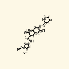 COc1nc(N[C@@H](C)c2cc3cc(Cl)c(OCc4ccccn4)cc3[nH]c2=O)sc1C#N